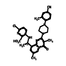 Cc1cc([C@@H](C)Nc2ccc(Cl)nc2C(=O)O)c2nc(N3CCN(c4ccc(C#N)cc4C)CC3)c(C)c(=O)n2c1